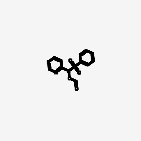 O=CON(c1ccncn1)S(=O)(=O)c1ccccc1